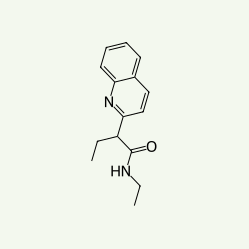 CCNC(=O)C(CC)c1ccc2ccccc2n1